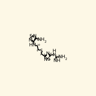 N=C(N)Nc1nc(CSCCNc2nsnc2N)ns1